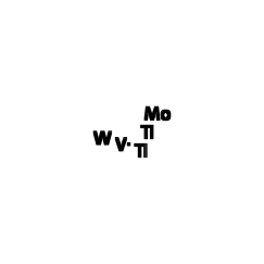 [Mo].[Ti].[Ti].[V].[W]